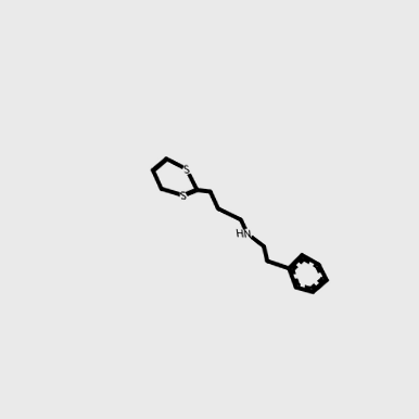 c1ccc(CCNCCCC2SCCCS2)cc1